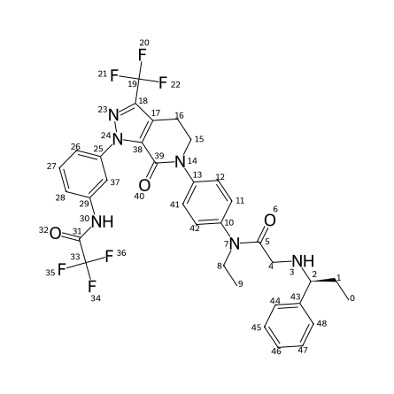 CC[C@H](NCC(=O)N(CC)c1ccc(N2CCc3c(C(F)(F)F)nn(-c4cccc(NC(=O)C(F)(F)F)c4)c3C2=O)cc1)c1ccccc1